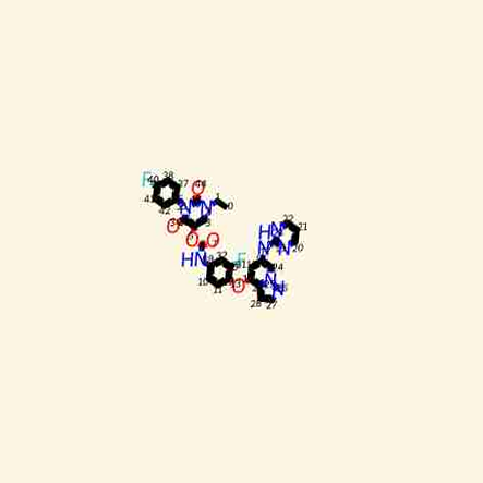 CCn1cc(OC(=O)Nc2ccc(Oc3cc(Nc4ncccn4)cn4nccc34)c(F)c2)c(=O)n(-c2ccc(F)cc2)c1=O